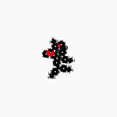 CC(C)(C)c1ccc(N2B3c4ccc5oc6ccccc6c5c4N(c4ccc(C(C)(C)C)cc4-c4ccccc4)c4cc(-c5ccccc5)cc(c43)-c3ccc(N(c4ccc(C(C)(C)C)cc4)c4ccc(C(C)(C)C)cc4)cc32)cc1